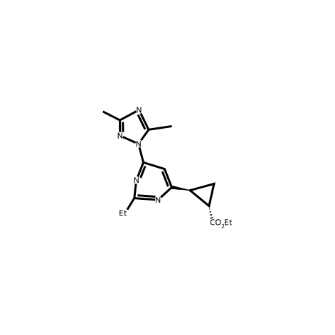 CCOC(=O)[C@H]1C[C@@H]1c1cc(-n2nc(C)nc2C)nc(CC)n1